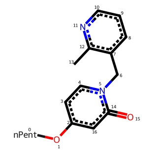 CCCCCOc1ccn(Cc2cccnc2C)c(=O)c1